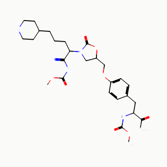 COC(=O)C(Cc1ccc(OCC2CN(C(CCCC3CCNCC3)C(=N)NC(=O)OC(C)(C)C)C(=O)O2)cc1)NC(=O)OC(C)(C)C